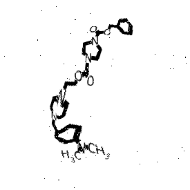 CN(C)c1ccc(CN2CCN(CCOC(=O)N3CCN(C(=O)OCc4ccccc4)CC3)CC2)cc1